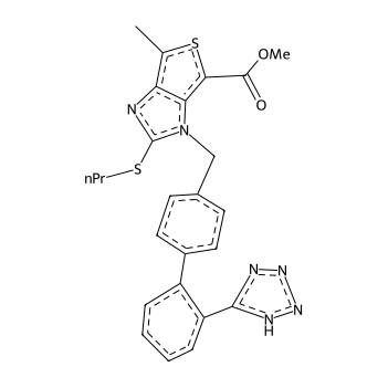 CCCSc1nc2c(C)sc(C(=O)OC)c2n1Cc1ccc(-c2ccccc2-c2nnn[nH]2)cc1